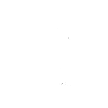 CCCCCCCCCCCCC[C](C)Oc1ccccc1